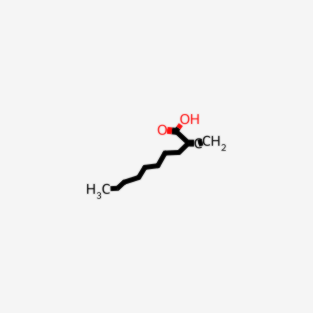 C=C=C(CCCCCCCC)C(=O)O